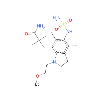 CCOCCN1CCc2c(C)c(NS(N)(=O)=O)c(C)c(CC(C)(C)C(N)=O)c21